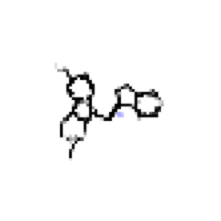 CN1CCc2c(n(/C=C3\CCc4cnccc43)c3ccc(Cl)cc23)C1